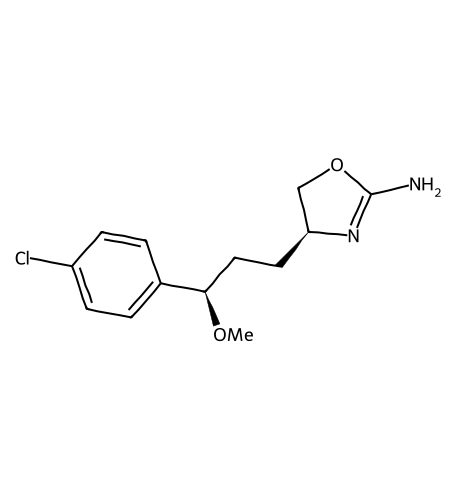 CO[C@H](CC[C@H]1COC(N)=N1)c1ccc(Cl)cc1